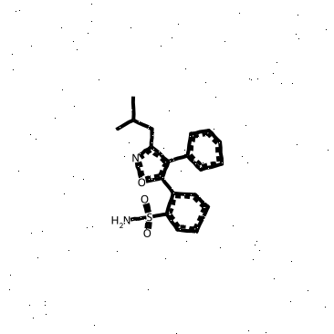 CC(C)Cc1noc(-c2ccccc2S(N)(=O)=O)c1-c1ccccc1